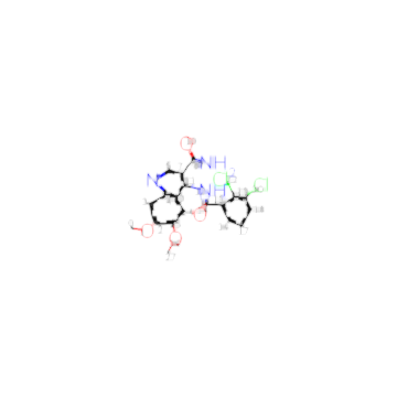 COc1cc2ncc(C(N)=O)c(NC(=O)c3cccc(Cl)c3Cl)c2cc1OC